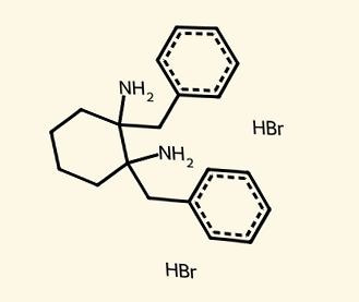 Br.Br.NC1(Cc2ccccc2)CCCCC1(N)Cc1ccccc1